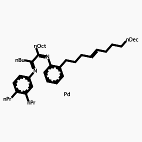 CCCCCCCCCCCCCC=CCCCc1ccccc1N=C(CCCCCCCC)C(CCCC)=Nc1ccc(CCC)c(CCC)c1.[Pd]